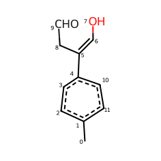 Cc1ccc(C(=CO)CC=O)cc1